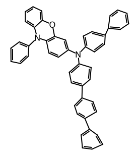 c1ccc(-c2ccc(-c3ccc(N(c4ccc(-c5ccccc5)cc4)c4ccc5c(c4)Oc4ccccc4N5c4ccccc4)cc3)cc2)cc1